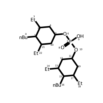 CCCCC1C(CC)CC(OP(=O)(O)OC2CC(CC)C(CCCC)C(CC)C2)CC1CC